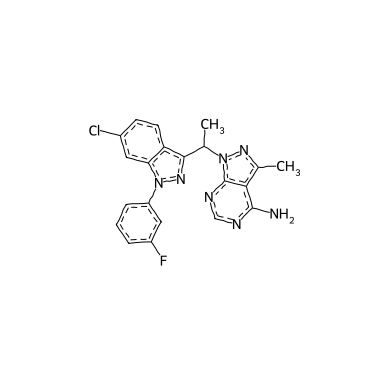 Cc1nn(C(C)c2nn(-c3cccc(F)c3)c3cc(Cl)ccc23)c2ncnc(N)c12